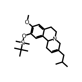 COc1cc2c(cc1O[Si](C)(C)C(C)(C)C)C1CC=C(CC(C)C)CN1CC2